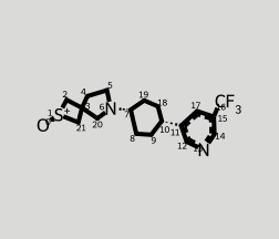 [O-][S+]1CC2(CCN([C@H]3CC[C@@H](c4cncc(C(F)(F)F)c4)CC3)C2)C1